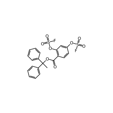 CC(OC(=O)c1ccc(OS(=O)(=O)F)cc1OS(=O)(=O)F)(c1ccccc1)c1ccccc1